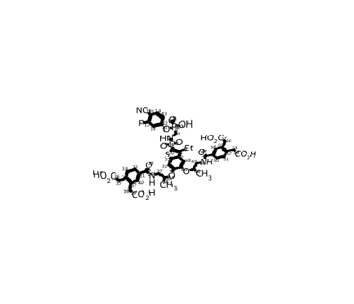 CCc1c(S(=O)(=O)NCP(=O)(O)Oc2ccc(C#N)c(F)c2)sc2cc(OC(C)CNC(=O)c3ccc(CC(=O)O)c(CC(=O)O)c3)c(OC(C)CNC(=O)c3ccc(CC(=O)O)c(CC(=O)O)c3)cc12